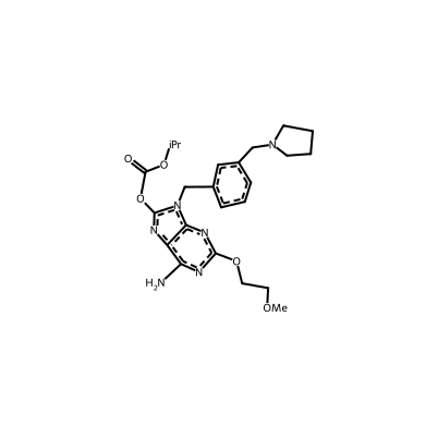 COCCOc1nc(N)c2nc(OC(=O)OC(C)C)n(Cc3cccc(CN4CCCC4)c3)c2n1